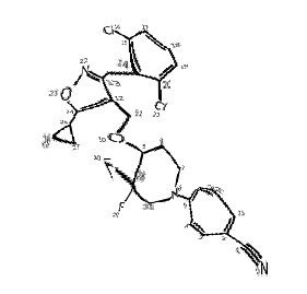 N#Cc1ccc(N2CCC(OCc3c(-c4c(Cl)cccc4Cl)noc3C3CC3)C(F)(F)C2)cc1